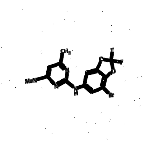 CNc1cc(C)nc(Nc2cc(Br)c3c(c2)OC(F)(F)O3)n1